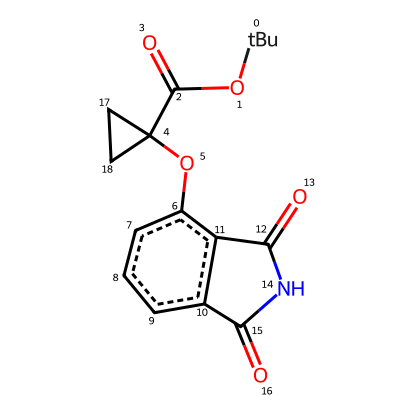 CC(C)(C)OC(=O)C1(Oc2cccc3c2C(=O)NC3=O)CC1